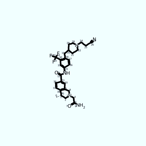 C[C@H]1CN(CC(N)=O)Cc2cc(C(=O)Nc3ccc(CC4CCN(CCC#N)CC4)c(C(F)(F)F)c3)ccc21